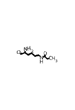 CCC(=O)NCCCCC(N)C=O